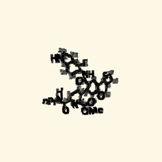 CCCNC(=O)c1ccc(-c2cc3c(cc2C(=O)Nc2ccc4[nH]ccc4c2F)-c2sccc2CO3)c(C(=O)OC)n1